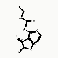 CCOC(=O)Oc1cccc2c1C(=O)C(C)C2